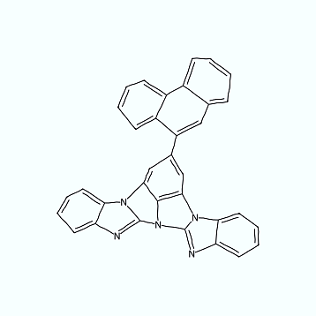 c1ccc2c(c1)cc(-c1cc3c4c(c1)n1c5ccccc5nc1n4c1nc4ccccc4n31)c1ccccc12